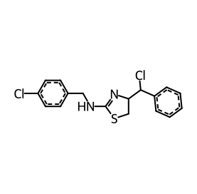 Clc1ccc(CNC2=NC(C(Cl)c3ccccc3)CS2)cc1